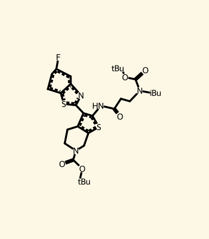 CCC(C)N(CCC(=O)Nc1sc2c(c1-c1nc3cc(F)ccc3s1)CCN(C(=O)OC(C)(C)C)C2)C(=O)OC(C)(C)C